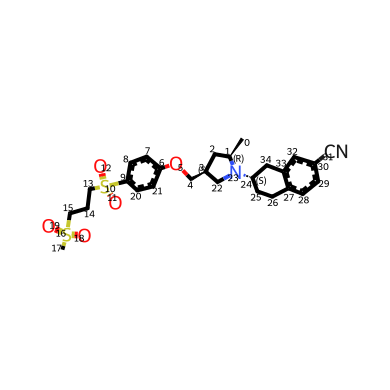 C[C@@H]1C[C@H](COc2ccc(S(=O)(=O)CCCS(C)(=O)=O)cc2)CN1[C@H]1CCc2ccc(C#N)cc2C1